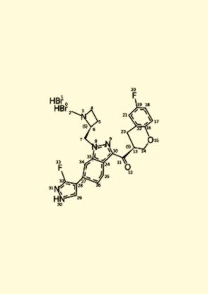 Br.Br.CN1CC[C@H]1Cn1nc(C(=O)[C@@H]2COc3ccc(F)cc3C2)c2ccc(-c3c[nH]nc3F)cc21